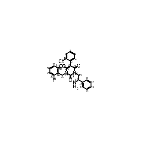 Cc1c(-c2ccccc2Cl)c(=O)n(C[C@H](N)c2ccccc2)c(=O)n1Cc1c(F)cccc1C(F)(F)F